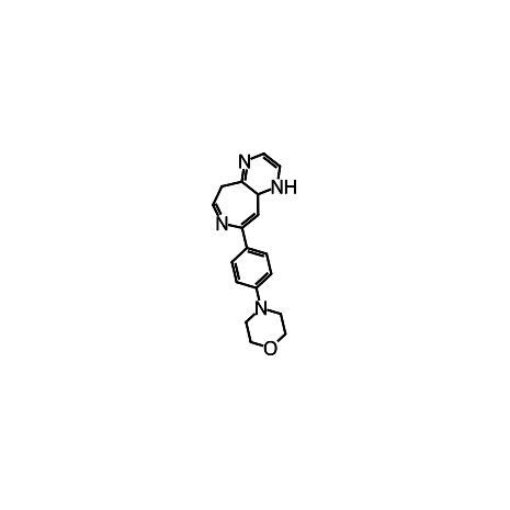 C1=CNC2C=C(c3ccc(N4CCOCC4)cc3)N=CCC2=N1